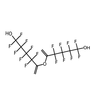 C=C(OC(=C)C(F)(F)C(F)(F)C(F)(F)C(O)(F)F)C(F)(F)C(F)(F)C(F)(F)C(O)(F)F